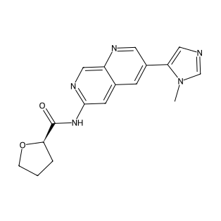 Cn1cncc1-c1cnc2cnc(NC(=O)[C@H]3CCCO3)cc2c1